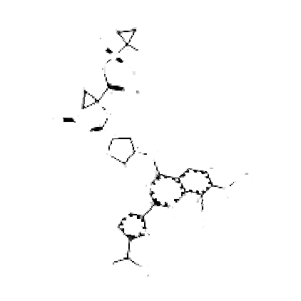 C=C[C@@H]1C[C@]1(NC(=O)[C@@H]1C[C@@H](Oc2nc(-c3nc(C(C)C)cs3)nc3c(C)c(OC)ccc23)CN1)C(=O)NS(=O)(=O)C1(C)CC1